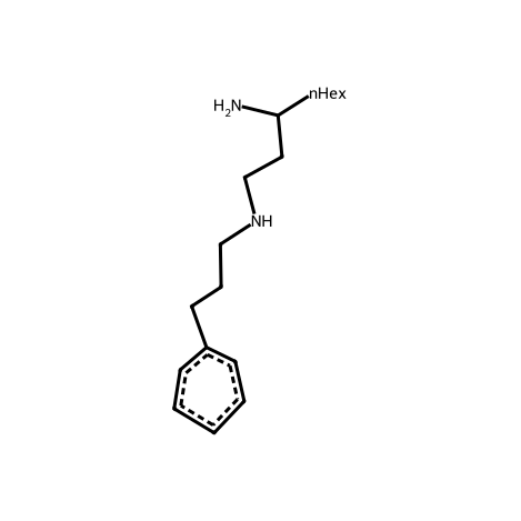 CCCCCCC(N)CCNCCCc1ccccc1